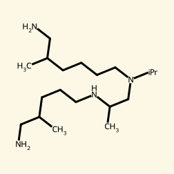 CC(CN)CCCCN(CC(C)NCCCC(C)CN)C(C)C